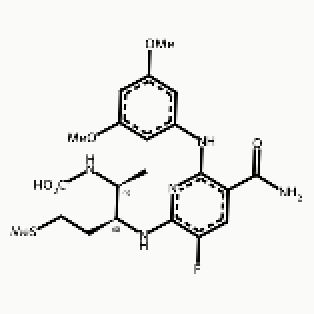 COc1cc(Nc2nc(N[C@@H](CCSC)[C@H](C)NC(=O)O)c(F)cc2C(N)=O)cc(OC)c1